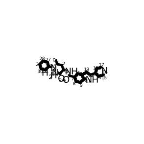 CC(CC(NC(=O)c1ccc2[nH]c(-c3ccncc3)cc2c1)C(N)=O)Nc1ccccc1